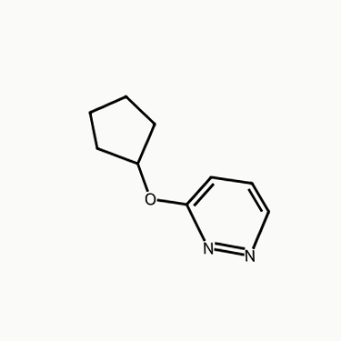 c1cnnc(OC2CCCC2)c1